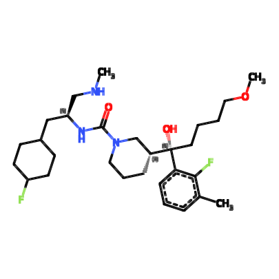 CNC[C@H](CC1CCC(F)CC1)NC(=O)N1CCC[C@@H]([C@@](O)(CCCCOC)c2cccc(C)c2F)C1